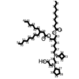 CCCCCCCCCCC(=O)OCC(CCCCN(CCN(CCO)C1CCCC1)C1CCC1)COC(=O)CC(CCCCCC)CCCCCCCC